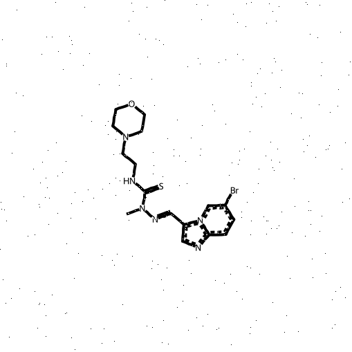 CN(N=Cc1cnc2ccc(Br)cn12)C(=S)NCCN1CCOCC1